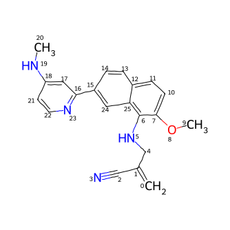 C=C(C#N)CNc1c(OC)ccc2ccc(-c3cc(NC)ccn3)cc12